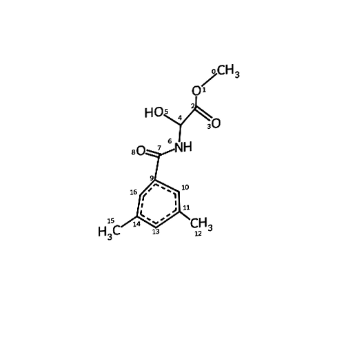 COC(=O)C(O)NC(=O)c1cc(C)cc(C)c1